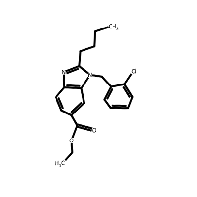 CCCCc1nc2ccc(C(=O)OCC)cc2n1Cc1ccccc1Cl